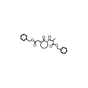 CC(N[C@H]1CCCCN(CC(=O)OCc2ccccc2)C1=O)C(=O)OCc1ccccc1